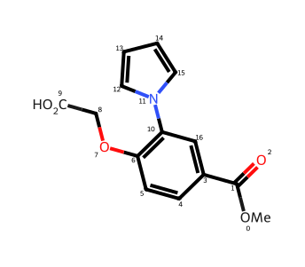 COC(=O)c1ccc(OCC(=O)O)c(-n2cccc2)c1